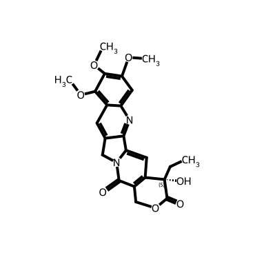 CC[C@@]1(O)C(=O)OCc2c1cc1n(c2=O)Cc2cc3c(OC)c(OC)c(OC)cc3nc2-1